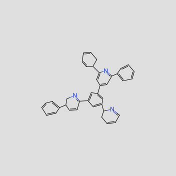 C1=CCC(c2cc(-c3cc(C4=NCC(c5ccccc5)C=C4)cc(C4CC=CC=N4)c3)cc(-c3ccccc3)n2)C=C1